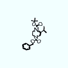 CC(C)[C@H]1CN(C(=O)OCc2ccccc2)CCN1C(=O)OC(C)(C)C